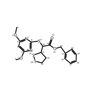 COc1cc(OC)nc(SC(C(=O)OCc2ccccc2)C2CCSS2)n1